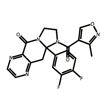 Cc1nocc1C(=O)N1CCN2C(=O)c3nccnc3CC12c1ccc(F)c(F)c1